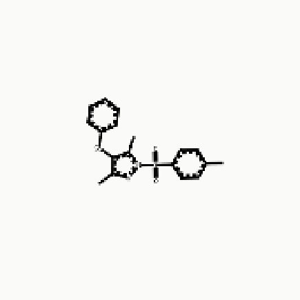 Cc1ccc(S(=O)(=O)n2nc(C)c([Se]c3ccccc3)c2C)cc1